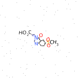 CS(=O)(=O)c1ccc2ncn(/C=C/C(=O)O)c(=O)c2c1